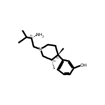 CC(C)[C@H](N)CN1CC[C@](C)(c2cccc(O)c2)[C@H](C)C1